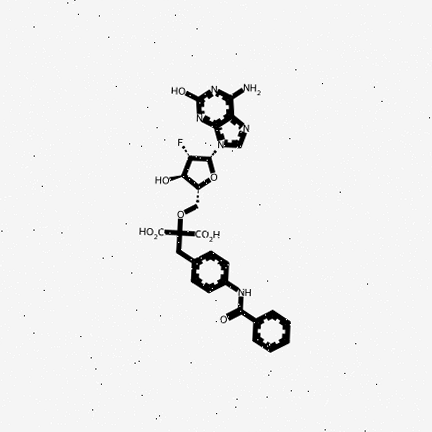 Nc1nc(O)nc2c1ncn2[C@@H]1O[C@H](COC(Cc2ccc(NC(=O)c3ccccc3)cc2)(C(=O)O)C(=O)O)[C@@H](O)[C@@H]1F